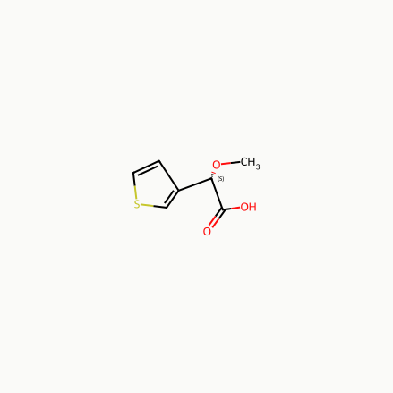 CO[C@H](C(=O)O)c1ccsc1